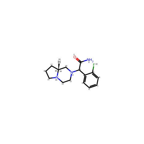 NC(=O)C(c1ccccc1F)N1CCN2CCC[C@@H]2C1